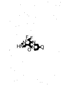 COc1ccn2c(=O)c(-c3c[nH]cn3)c(C(F)(F)F)nc2c1